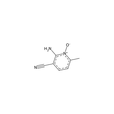 Cc1ccc(C#N)c(N)[n+]1[O-]